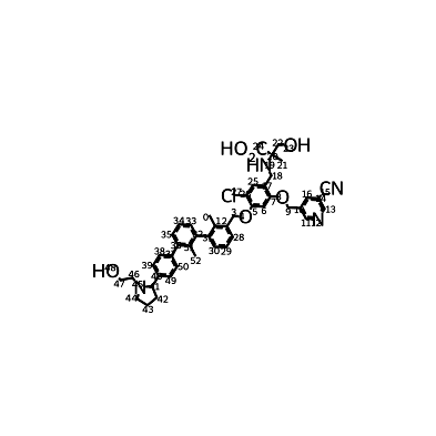 Cc1c(COc2cc(OCc3cncc(C#N)c3)c(CN[C@@](C)(CO)C(=O)O)cc2Cl)cccc1-c1cccc(-c2ccc(C3CCCN3CCO)cc2)c1C